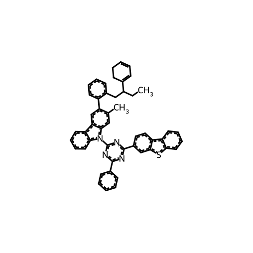 CCC(Cc1ccccc1-c1cc2c3ccccc3n(-c3nc(-c4ccccc4)nc(-c4ccc5c(c4)sc4ccccc45)n3)c2cc1C)C1=CC=CCC1